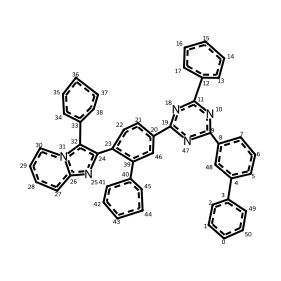 c1ccc(-c2cccc(-c3nc(-c4ccccc4)nc(-c4ccc(-c5nc6ccccn6c5-c5ccccc5)c(-c5ccccc5)c4)n3)c2)cc1